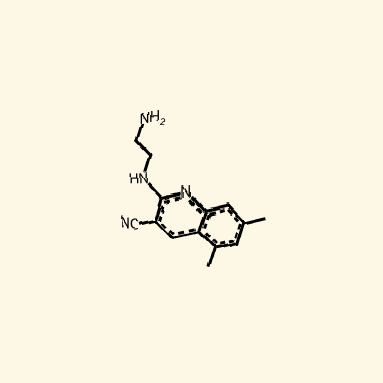 Cc1cc(C)c2cc(C#N)c(NCCN)nc2c1